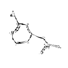 O=[SH](=O)Cc1ccnc(Cl)c1